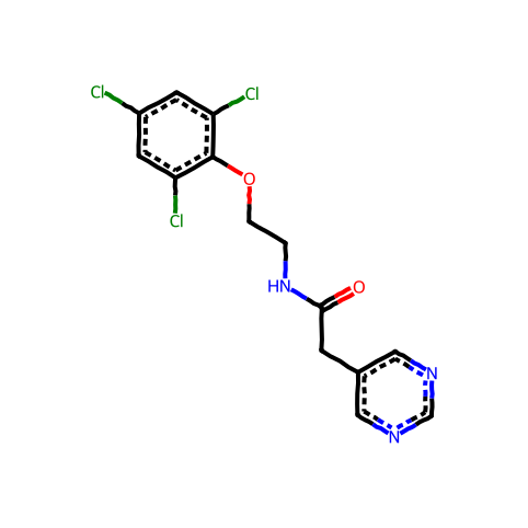 O=C(Cc1cncnc1)NCCOc1c(Cl)cc(Cl)cc1Cl